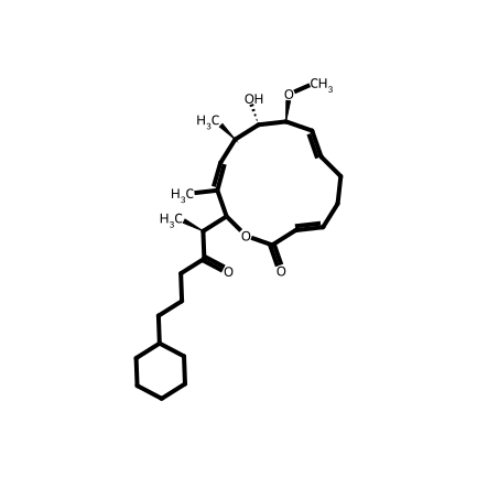 CO[C@H]1/C=C/CC/C=C/C(=O)OC([C@H](C)C(=O)CCCC2CCCCC2)/C(C)=C\[C@@H](C)[C@@H]1O